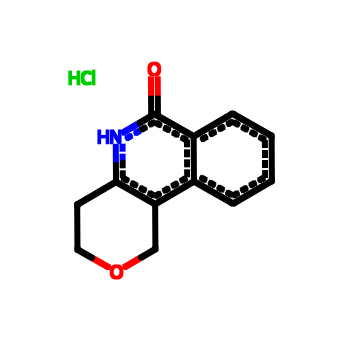 Cl.O=c1[nH]c2c(c3ccccc13)COCC2